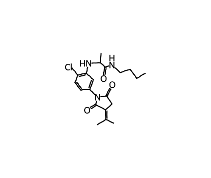 CCCCNC(=O)C(C)Nc1cc(N2C(=O)CC(=C(C)C)C2=O)ccc1Cl